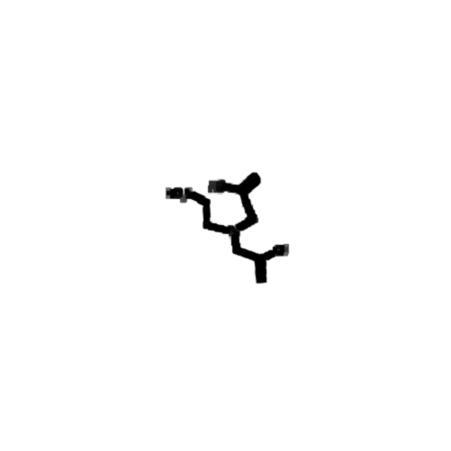 C=C(O)CN(CCS(=O)(=O)O)CC(=C)O